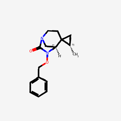 C[C@H]1CC12CCN1C[C@@H]2N(OCc2ccccc2)C1=O